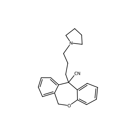 N#CC1(CCCN2CCCC2)c2ccccc2COc2ccccc21